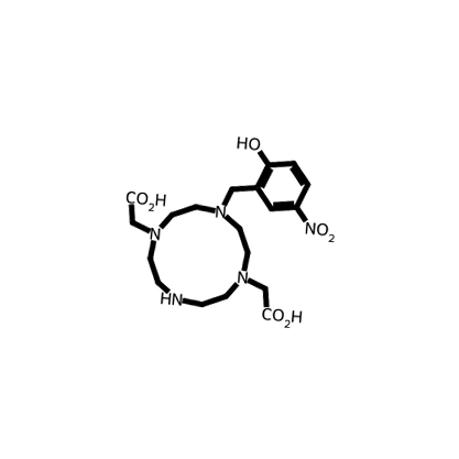 O=C(O)CN1CCNCCN(CC(=O)O)CCN(Cc2cc([N+](=O)[O-])ccc2O)CC1